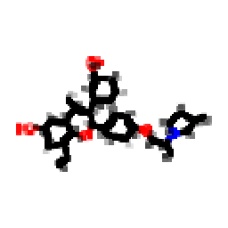 C=Cc1cc(O)cc2c1OC(c1ccc(OCC(C)N3CCC(C)C3)cc1)C(c1cccc(O)c1)=C2C